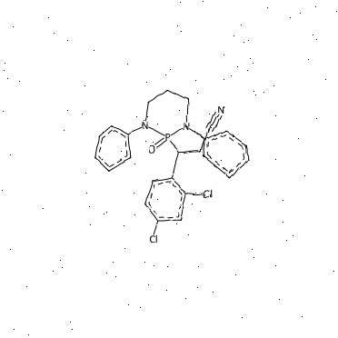 N#CCC(c1ccc(Cl)cc1Cl)P1(=O)N(c2ccccc2)CCCN1c1ccccc1